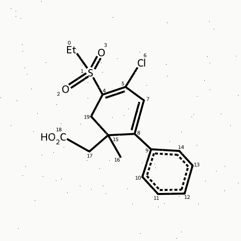 CCS(=O)(=O)C1=C(Cl)C=C(c2ccccc2)C(C)(CC(=O)O)C1